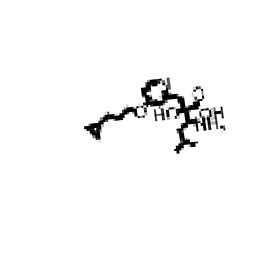 CC(C)CC(N)C(O)(Cc1cc(OCCCC2CC2)ccn1)C(=O)O